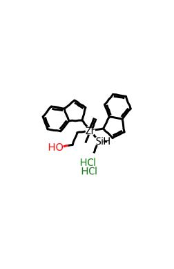 Cl.Cl.[CH2]=[Zr]([CH3])([CH2]CO)([CH]1C=Cc2ccccc21)([CH]1C=Cc2ccccc21)[SiH](C)C